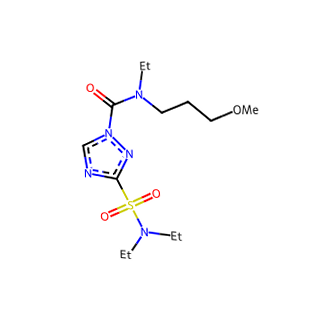 CCN(CCCOC)C(=O)n1cnc(S(=O)(=O)N(CC)CC)n1